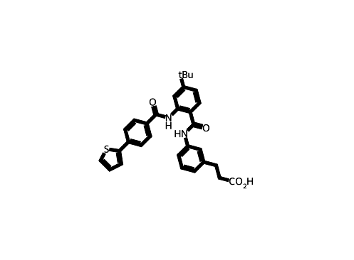 CC(C)(C)c1ccc(C(=O)Nc2cccc(CCC(=O)O)c2)c(NC(=O)c2ccc(-c3cccs3)cc2)c1